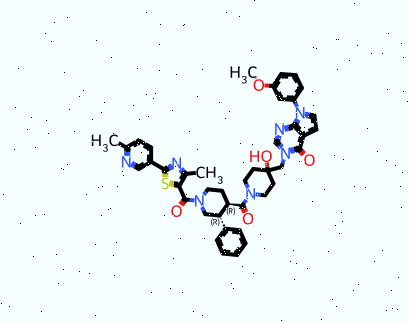 COc1cccc(-n2ccc3c(=O)n(CC4(O)CCN(C(=O)[C@@H]5CCN(C(=O)c6sc(-c7ccc(C)nc7)nc6C)C[C@H]5c5ccccc5)CC4)cnc32)c1